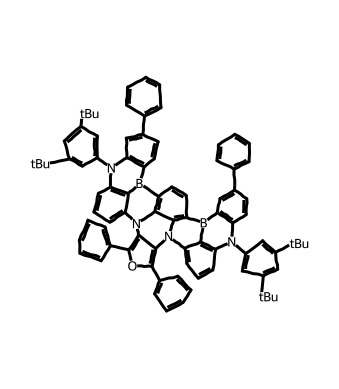 CC(C)(C)c1cc(N2c3ccc(-c4ccccc4)cc3B3c4ccc5c6c4N(c4cccc2c43)c2c(-c3ccccc3)oc(-c3ccccc3)c2N6c2cccc3c2B5c2ccc(-c4ccccc4)cc2N3c2cc(C(C)(C)C)cc(C(C)(C)C)c2)cc(C(C)(C)C)c1